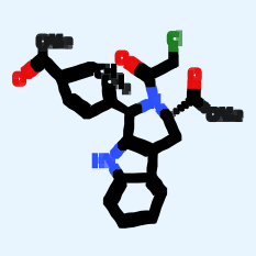 C=C(/C=C\C(=C/C)C(=O)OC)[C@@H]1c2[nH]c3ccccc3c2C[C@@H](C(=O)OC)N1C(=O)CCl